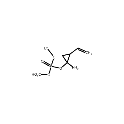 C=CC1CC1(N)OP(=O)(OCC)OC(=O)O